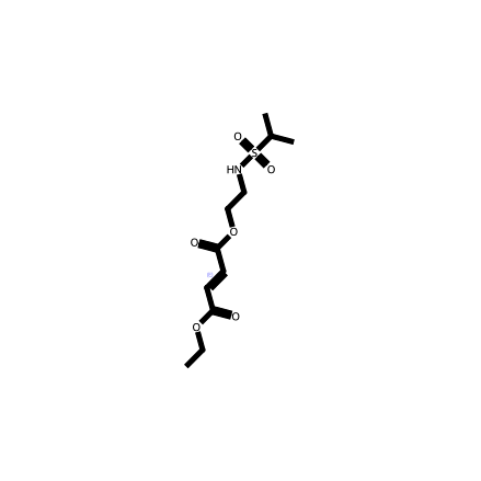 CCOC(=O)/C=C/C(=O)OCCNS(=O)(=O)C(C)C